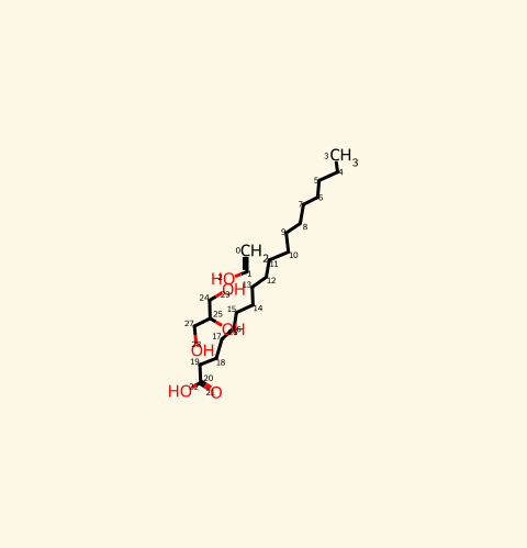 C=CO.CCCCCCCCCCCCCCCCCC(=O)O.OCC(O)CO